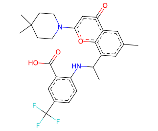 Cc1cc(C(C)Nc2ccc(C(F)(F)F)cc2C(=O)O)c2oc(N3CCC(C)(C)CC3)cc(=O)c2c1